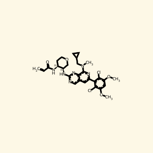 C=CC(=O)N[C@H]1CCOC[C@H]1Nc1ncc2cc(-c3c(Cl)c(OC)cc(OC)c3Cl)nc(N(C)CC3CC3)c2n1